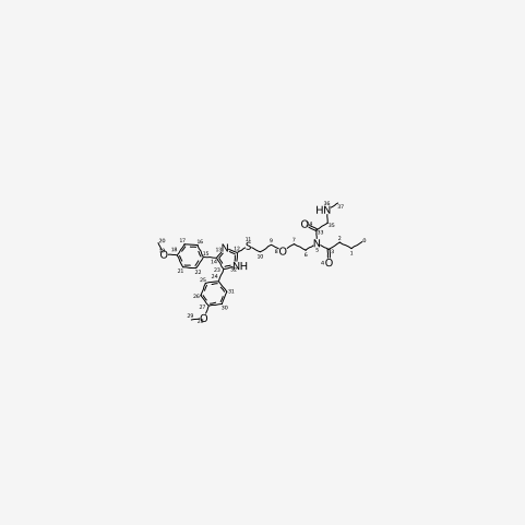 CCCC(=O)N(CCOCCSc1nc(-c2ccc(OC)cc2)c(-c2ccc(OC)cc2)[nH]1)C(=O)CNC